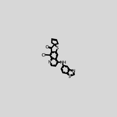 O=C1c2c(cc3c(Nc4ccc5scnc5c4)ccnc3c2Cl)SC12CC=CC2